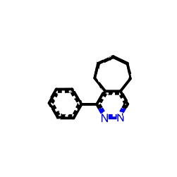 c1ccc(-c2nncc3c2CCCCC3)cc1